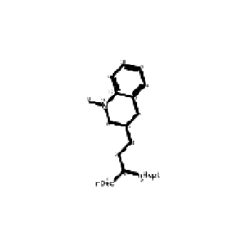 CCCCCCCCCCC(CCCCCCC)CCC1Cc2ccccc2N(C)C1